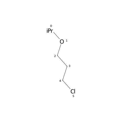 CC(C)OCCCCl